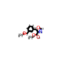 CC(C)OCc1cccc(-c2ocnc2C(=O)OC(C)C)c1